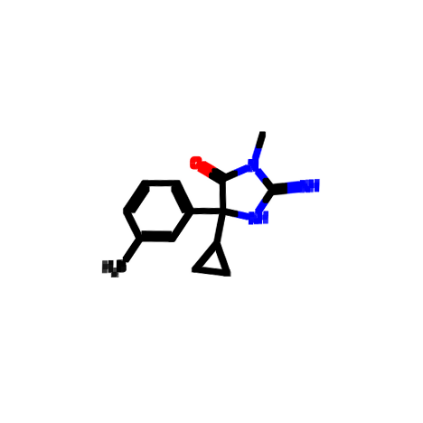 Bc1cccc(C2(C3CC3)NC(=N)N(C)C2=O)c1